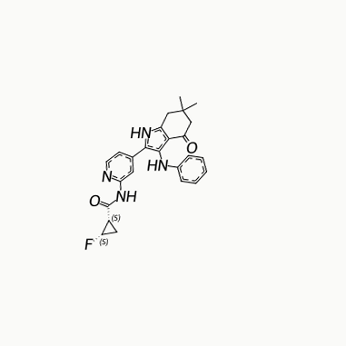 CC1(C)CC(=O)c2c([nH]c(-c3ccnc(NC(=O)[C@@H]4C[C@@H]4F)c3)c2Nc2ccccc2)C1